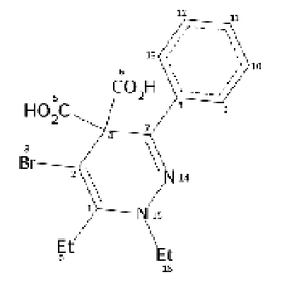 CCC1=C(Br)C(C(=O)O)(C(=O)O)C(c2ccccc2)=NN1CC